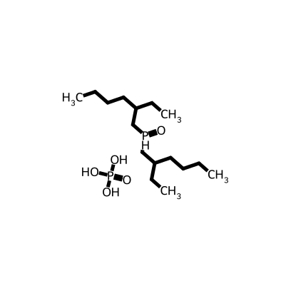 CCCCC(CC)C[PH](=O)CC(CC)CCCC.O=P(O)(O)O